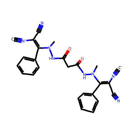 [C-]#[N+]/C(C#N)=C(/c1ccccc1)N(C)NC(=O)CC(=O)NN(C)/C(=C(\C#N)[N+]#[C-])c1ccccc1